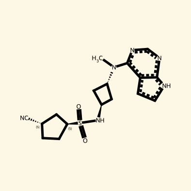 CN(c1ncnc2[nH]ccc12)[C@H]1C[C@H](NS(=O)(=O)[C@H]2CC[C@H](C#N)C2)C1